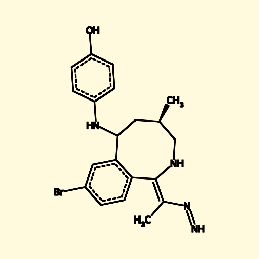 C/C(N=N)=C1/NC[C@H](C)CC(Nc2ccc(O)cc2)c2cc(Br)ccc21